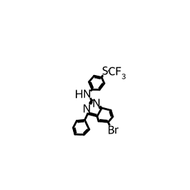 FC(F)(F)Sc1ccc(Nc2nc(-c3ccccc3)c3cc(Br)ccc3n2)cc1